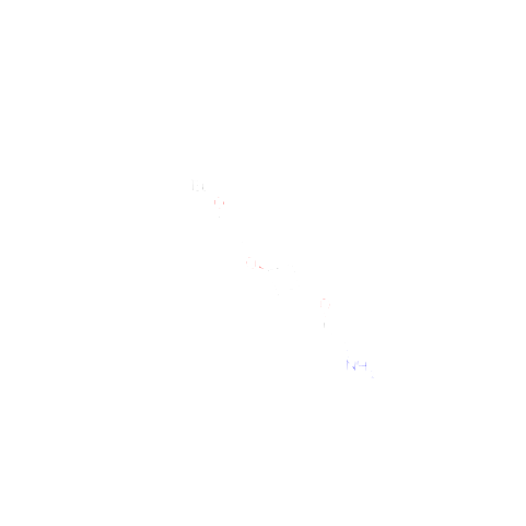 CCOCCO[C@H]1C[C@H](OCCN)C1